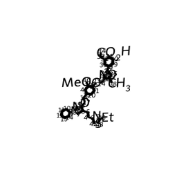 CCc1nc(C=Cc2cn(-c3ccccc3)nc2OCc2ccc(OCc3nc(-c4cccc(CC(=O)O)c4)oc3C)c(OC)c2)cs1